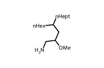 CCCCCCCC(CCCCCC)CC(CN)OC